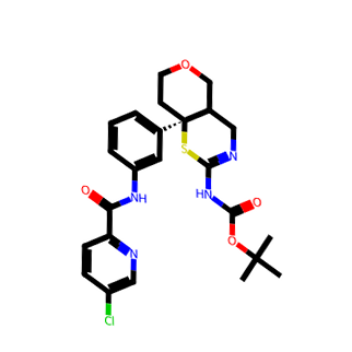 CC(C)(C)OC(=O)NC1=NCC2COCC[C@]2(c2cccc(NC(=O)c3ccc(Cl)cn3)c2)S1